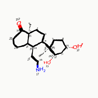 C[C@]12CCC([C@@]3(C)CC[C@H](O)C[C@@H]3O)[C@@H](CCN)C1CCC2=O